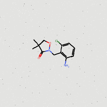 CC1(C)CON(Cc2c(N)cccc2Cl)C1=O